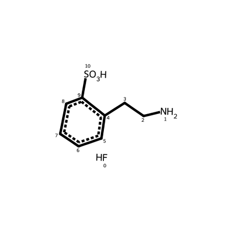 F.NCCc1ccccc1S(=O)(=O)O